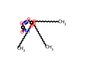 CCCCCCCCCCCCCCCCCCOc1cc(C(=O)N2CCN(C(=O)c3ccc4c(c3)CNC4=O)CC2)cc(OCCCCCCCCCCCCCCCCCC)c1OCCCCCCCCCCCCCCCCCC